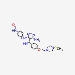 CSN1CCN(CCOc2ccc(C(=N)c3c(N)ncnc3Nc3ccc(NC=O)cc3)cc2)CC1